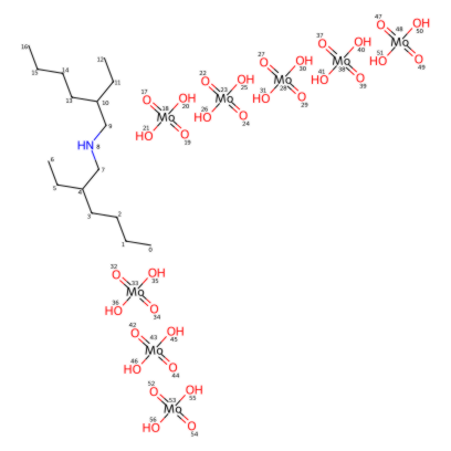 CCCCC(CC)CNCC(CC)CCCC.[O]=[Mo](=[O])([OH])[OH].[O]=[Mo](=[O])([OH])[OH].[O]=[Mo](=[O])([OH])[OH].[O]=[Mo](=[O])([OH])[OH].[O]=[Mo](=[O])([OH])[OH].[O]=[Mo](=[O])([OH])[OH].[O]=[Mo](=[O])([OH])[OH].[O]=[Mo](=[O])([OH])[OH]